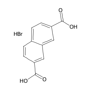 Br.O=C(O)c1ccc2ccc(C(=O)O)cc2c1